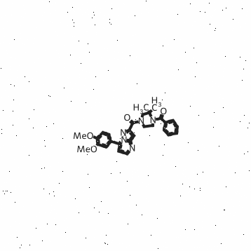 COc1ccc(-c2ccnc3cc(C(=O)N4CCN(C(=O)c5ccccc5)C(C)(C)C4)nn23)cc1OC